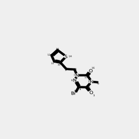 Cn1c(=O)c(Br)nn(CCc2cccs2)c1=O